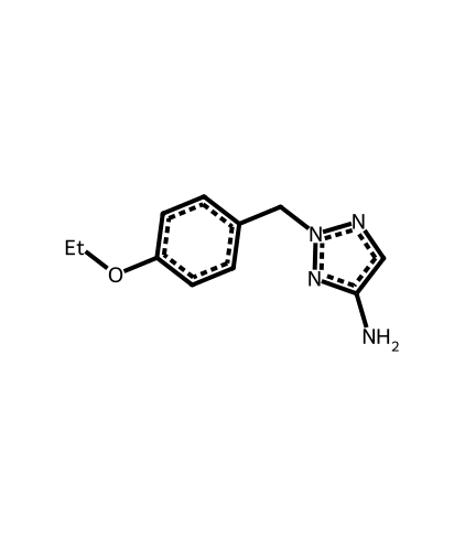 CCOc1ccc(Cn2ncc(N)n2)cc1